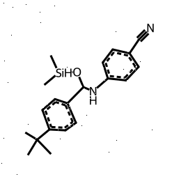 C[SiH](C)OC(Nc1ccc(C#N)cc1)c1ccc(C(C)(C)C)cc1